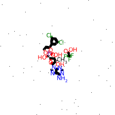 C[C@@]1(O)[C@H](O)[C@@H](C(O)P2(=O)OCC=C(c3cc(Cl)cc(Cl)c3)O2)O[C@H]1n1cnc2c(N)ncnc21.O=C(O)C(F)(F)F